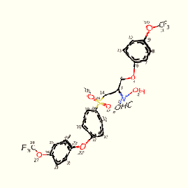 O=CN(O)C(COc1ccc(OC(F)(F)F)cc1)CS(=O)(=O)c1ccc(Oc2ccc(OC(F)(F)F)cc2)cc1